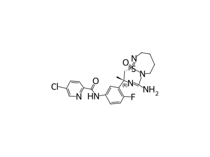 C[C@@]1(c2cc(NC(=O)c3ccc(Cl)cn3)ccc2F)C[S@]2(=O)=NCCCCN2C(N)=N1